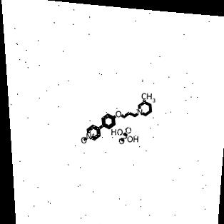 CC1CCCN(CCCOc2ccc(-c3cc[n+]([O-])cc3)cc2)C1.O=S(=O)(O)O